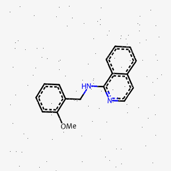 COc1ccccc1CNc1nccc2ccccc12